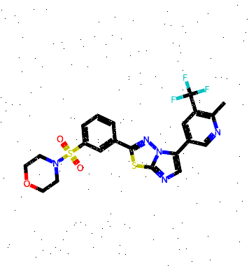 Cc1ncc(-c2cnc3sc(-c4cccc(S(=O)(=O)N5CCOCC5)c4)nn23)cc1C(F)(F)F